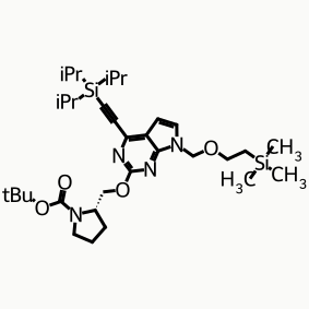 CC(C)[Si](C#Cc1nc(OC[C@@H]2CCCN2C(=O)OC(C)(C)C)nc2c1ccn2COCC[Si](C)(C)C)(C(C)C)C(C)C